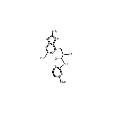 CC[C@H](Sc1nc(N)nc2nc(C)[nH]c12)C(=O)Nc1nccc(OC)n1